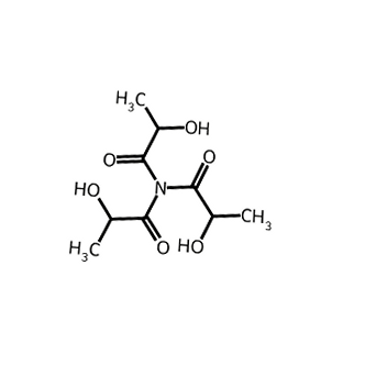 CC(O)C(=O)N(C(=O)C(C)O)C(=O)C(C)O